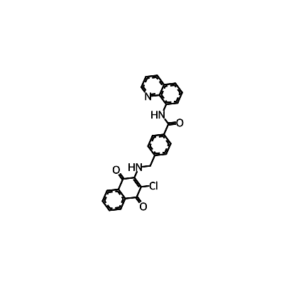 O=C(Nc1cccc2cccnc12)c1ccc(CNC2=C(Cl)C(=O)c3ccccc3C2=O)cc1